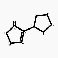 C1=C(C2CCCC2)NCC1